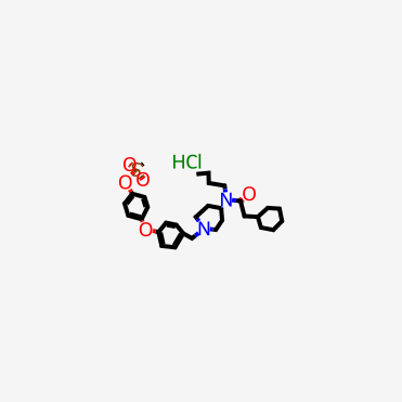 CCCCN(C(=O)CC1CCCCC1)C1CCN(Cc2ccc(Oc3ccc(OS(C)(=O)=O)cc3)cc2)CC1.Cl